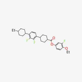 CCOc1ccc(OC(=O)C2CCC(c3ccc(C4CCC(CC)CC4)c(F)c3F)CC2)cc1F